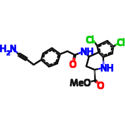 COC(=O)C1CC(NC(=O)Cc2ccc(CC#CN)cc2)c2c(Cl)cc(Cl)cc2N1